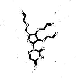 O=CCOC[C@@H]1O[C@H](n2ncc(=O)[nH]c2=O)C(OCC=O)C1OCC=O